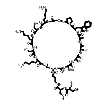 CCCCC1NC(=O)CN(S(=O)(=O)CCCNC(=O)C(CS)NC(=O)C(N)CS)CCNC(=O)C(CCCCN)NC(=O)C(CC(C)C)NC(=O)C(CCCCN)NC(=O)C(CC(C)C)NC(=O)C(CCCCN)NC(=O)COCC2CCCN2C(=O)C(Cc2c[nH]c3ccccc23)NC(=O)C(C)NC(=O)C(C(C)C)NC(=O)C(C(C)C)NC1=O